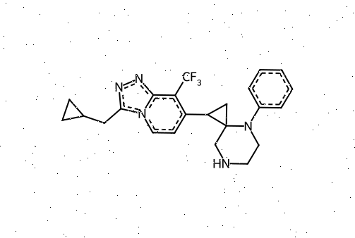 FC(F)(F)c1c(C2CC23CNCCN3c2ccccc2)ccn2c(CC3CC3)nnc12